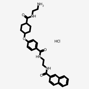 Cl.NCCNC(=O)C1CCC(Oc2ccc(C(=O)NCCNC(=O)c3ccc4ccccc4c3)cc2)CC1